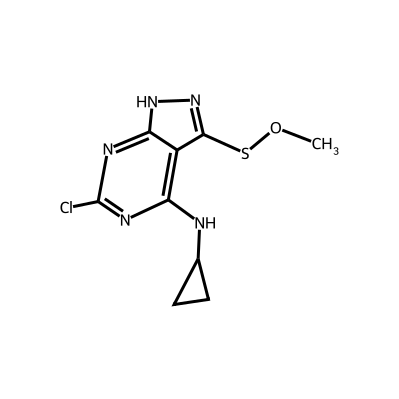 COSc1n[nH]c2nc(Cl)nc(NC3CC3)c12